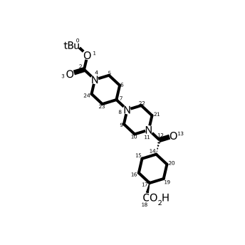 CC(C)(C)OC(=O)N1CCC(N2CCN(C(=O)[C@H]3CC[C@H](C(=O)O)CC3)CC2)CC1